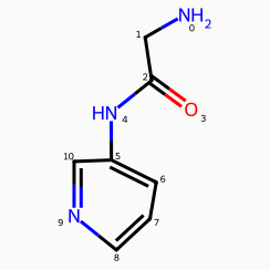 NCC(=O)Nc1cccnc1